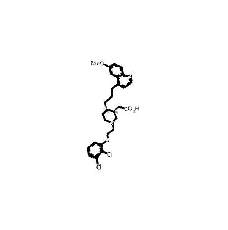 COc1ccc2nccc(CCC[C@@H]3CCN(CCSc4cccc(Cl)c4Cl)C[C@@H]3CC(=O)O)c2c1